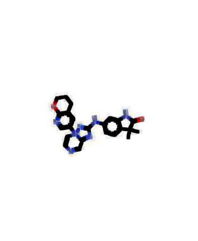 CC1(C)C(=O)Nc2cc(NC3=N[N+]4(c5cnc6c(c5)CCCO6)C=CN=CC4=N3)ccc21